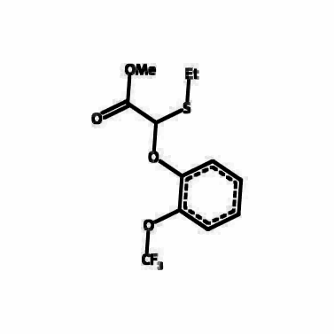 CCSC(Oc1ccccc1OC(F)(F)F)C(=O)OC